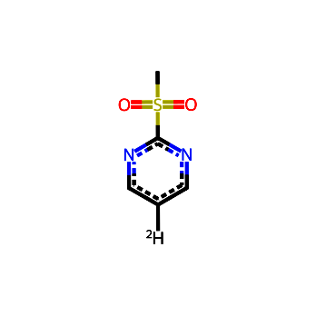 [2H]c1cnc(S(C)(=O)=O)nc1